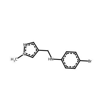 Cn1cc(CNc2ccc(Br)cc2)cn1